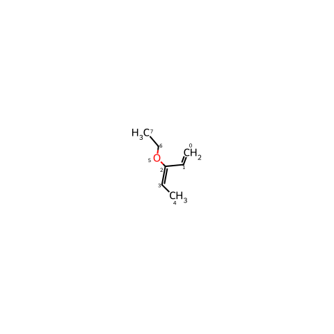 C=C/C(=C\C)OCC